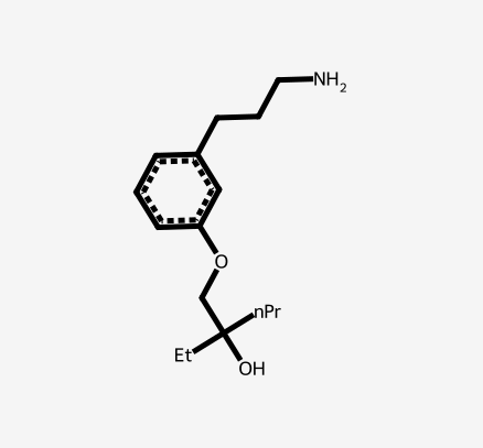 CCCC(O)(CC)COc1cccc(CCCN)c1